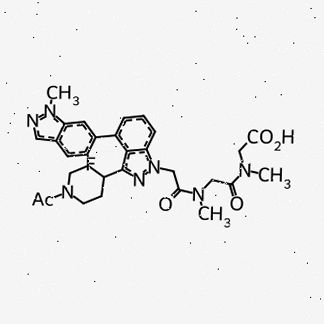 CC(=O)N1CCC(c2nn(CC(=O)N(C)CC(=O)N(C)CC(=O)O)c3cccc(-c4cc5c(cnn5C)cc4F)c23)CC1